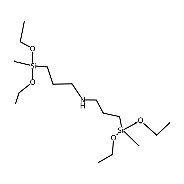 CCO[Si](C)(CCCNCCC[Si](C)(OCC)OCC)OCC